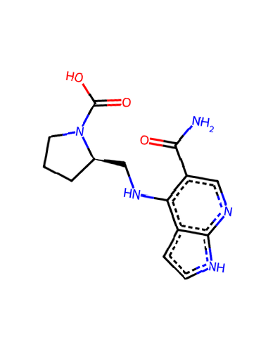 NC(=O)c1cnc2[nH]ccc2c1NC[C@H]1CCCN1C(=O)O